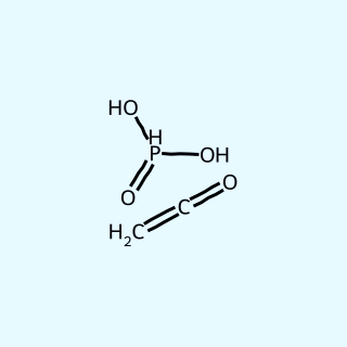 C=C=O.O=[PH](O)O